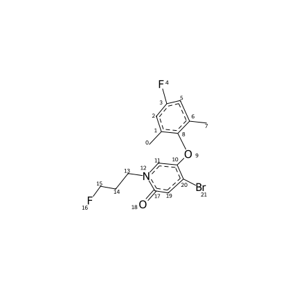 Cc1cc(F)cc(C)c1Oc1cn(CCCF)c(=O)cc1Br